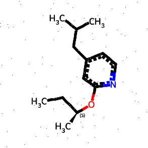 CC[C@H](C)Oc1cc(CC(C)C)ccn1